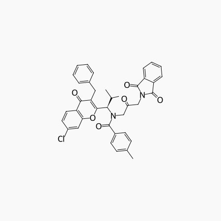 Cc1ccc(C(=O)N(CC(=O)CN2C(=O)c3ccccc3C2=O)[C@@H](c2oc3cc(Cl)ccc3c(=O)c2Cc2ccccc2)C(C)C)cc1